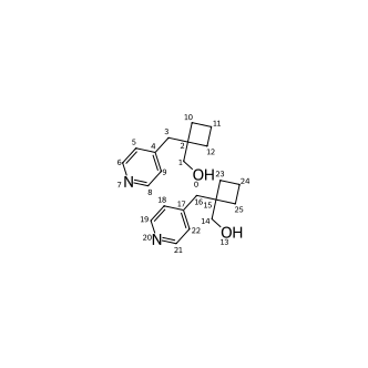 OCC1(Cc2ccncc2)CCC1.OCC1(Cc2ccncc2)CCC1